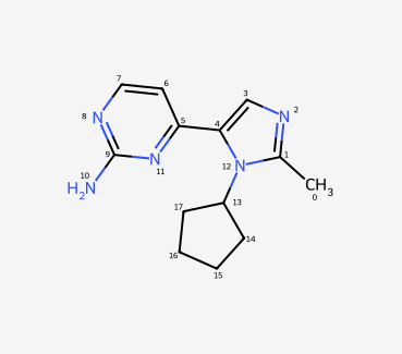 Cc1ncc(-c2ccnc(N)n2)n1C1CCCC1